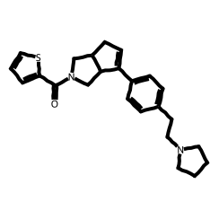 O=C(c1cccs1)N1CC2CC=C(c3ccc(CCN4CCCC4)cc3)C2C1